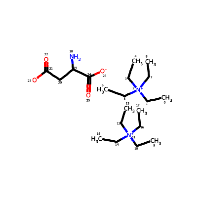 CC[N+](CC)(CC)CC.CC[N+](CC)(CC)CC.NC(CC(=O)[O-])C(=O)[O-]